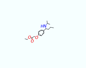 CCCC(NC(C)C)c1ccc(OCC(=O)OCC)cc1